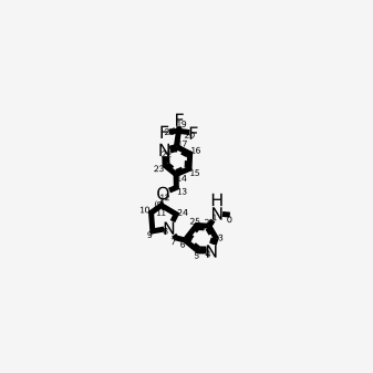 CNc1cncc(CN2CC[C@H](OCc3ccc(C(F)(F)F)nc3)C2)c1